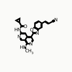 CNc1ncc(-c2nc3cc(C=CC#N)ccc3o2)c2cc(NC(=O)C3CC3)ncc12